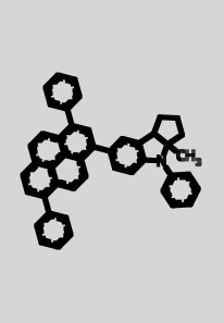 CC12CCCC1c1cc(-c3cc(-c4ccccc4)c4ccc5ccc(-c6ccccc6)c6ccc3c4c56)ccc1N2c1ccccc1